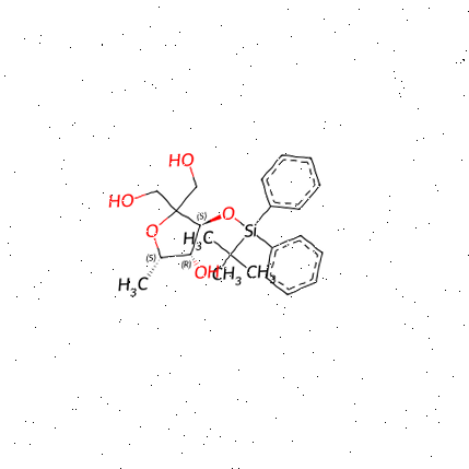 C[C@@H]1OC(CO)(CO)[C@@H](O[Si](c2ccccc2)(c2ccccc2)C(C)(C)C)[C@@H]1O